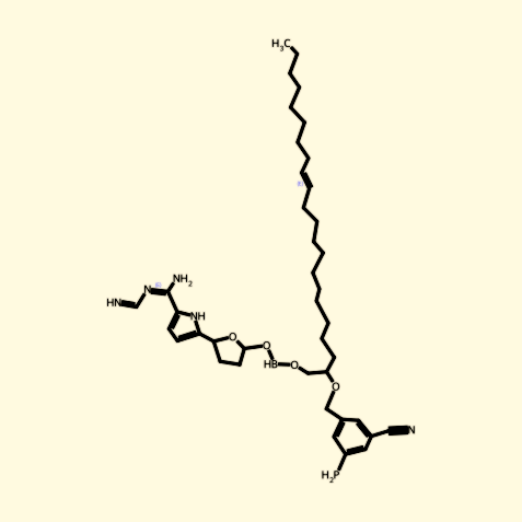 CCCCCCCC/C=C/CCCCCCCCCCC(COBOC1CCC(c2ccc(/C(N)=N\C=N)[nH]2)O1)OCc1cc(P)cc(C#N)c1